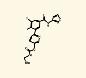 Cc1c(F)cc(C(=O)Nc2ccon2)cc1-c1ccc(OC(=O)NCC(C)(C)C)cn1